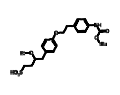 CCOC(CCS(=O)(=O)O)Cc1ccc(OCCc2ccc(NC(=O)OC(C)(C)C)cc2)cc1